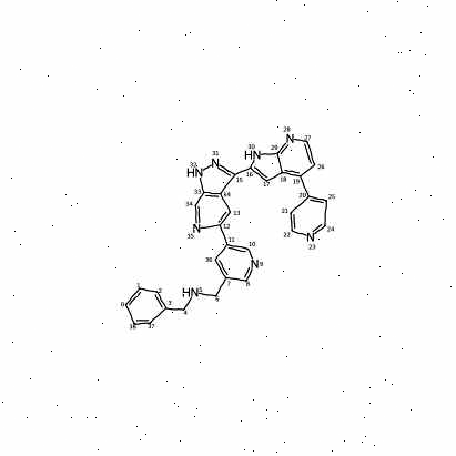 c1ccc(CNCc2cncc(-c3cc4c(-c5cc6c(-c7ccncc7)ccnc6[nH]5)n[nH]c4cn3)c2)cc1